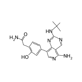 CC(C)(C)Nc1ncc2c(N)ncc(-c3ccc(CC(N)=O)c(O)c3)c2n1